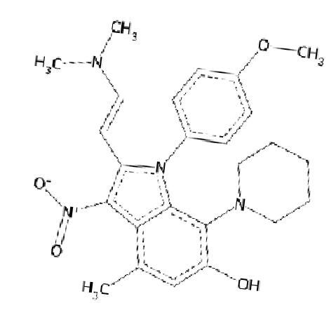 COc1ccc(-n2c(C=CN(C)C)c([N+](=O)[O-])c3c(C)cc(O)c(N4CCCCC4)c32)cc1